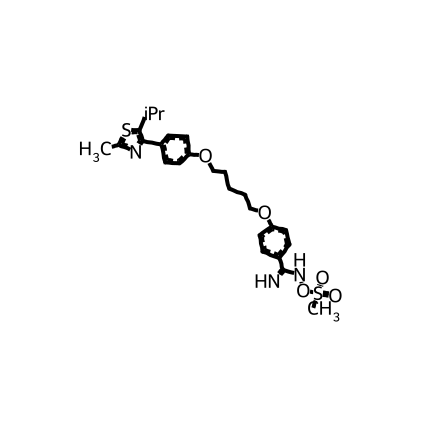 Cc1nc(-c2ccc(OCCCCCOc3ccc(C(=N)NOS(C)(=O)=O)cc3)cc2)c(C(C)C)s1